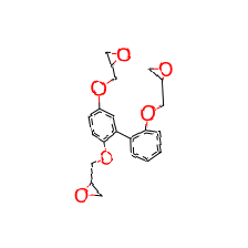 c1ccc(-c2cc(OCC3CO3)ccc2OCC2CO2)c(OCC2CO2)c1